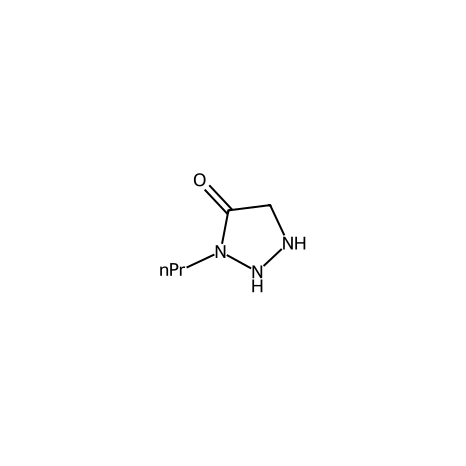 CCCN1NNCC1=O